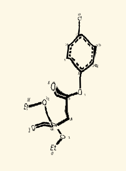 CCOP(=O)(CC(=O)Oc1ccc(Cl)cc1)OCC